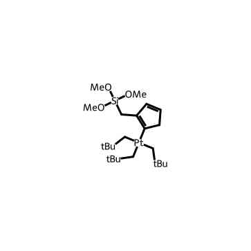 CO[Si](CC1=[C]([Pt]([CH2]C(C)(C)C)([CH2]C(C)(C)C)[CH2]C(C)(C)C)CC=C1)(OC)OC